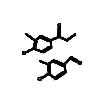 CCC(=O)c1ccc(Cl)c(C)c1.Cc1cc(C=O)ccc1Cl